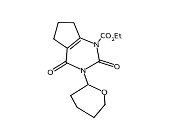 CCOC(=O)n1c2c(c(=O)n(C3CCCCO3)c1=O)CCC2